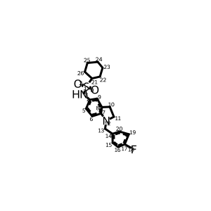 O=S(=O)(Nc1ccc2c(c1)CCN2Cc1ccc(F)cc1)C1CCCCC1